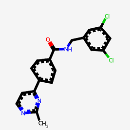 Cc1nccc(-c2ccc(C(=O)NCc3cc(Cl)cc(Cl)c3)cc2)n1